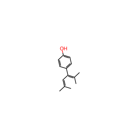 CC(C)=CC(=C(C)C)c1ccc(O)cc1